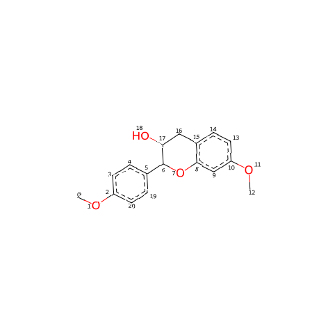 COc1ccc(C2Oc3cc(OC)ccc3CC2O)cc1